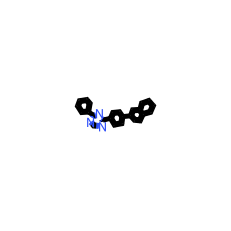 c1ccc(-c2ncnc(-c3ccc(-c4ccc5ccccc5c4)cc3)n2)cc1